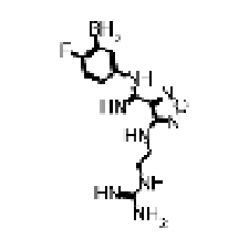 Bc1cc(NC(=N)c2nonc2NCCNC(=N)N)ccc1F